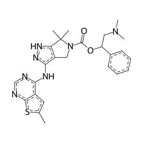 Cc1cc2c(Nc3n[nH]c4c3CN(C(=O)OC(CN(C)C)c3ccccc3)C4(C)C)ncnc2s1